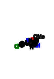 COc1ccc2c3c1O[C@H]1c4ncc(-c5ccc(Cl)cc5)cc4C[C@H]4C(C2)NCC[C@]314